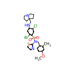 COc1ccc(CN(c2nccs2)S(=O)(=O)c2cc(Cl)c(NCC34CCCN3CCC4)cc2Br)c(C)c1